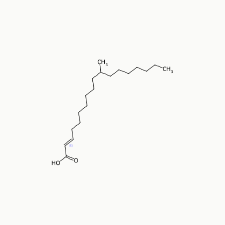 CCCCCCCC(C)CCCCCCC/C=C/C(=O)O